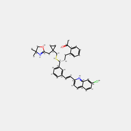 CC(=O)c1ccccc1CC[C@@H](SCC1(CC2=NC(C)(C)CO2)CC1)c1cccc(/C=C/c2ccc3ccc(Cl)cc3n2)c1